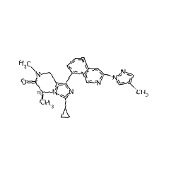 Cc1cnn(-c2cc3cccc(-c4nc(C5CC5)n5c4CN(C)C(=O)[C@@H]5C)c3cn2)c1